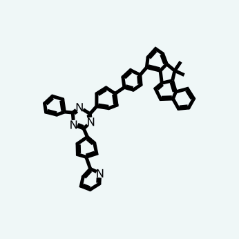 CC1(C)c2cccc(-c3ccc(-c4ccc(-c5nc(-c6ccccc6)nc(-c6ccc(-c7ccccn7)cc6)n5)cc4)cc3)c2-c2ccc3ccccc3c21